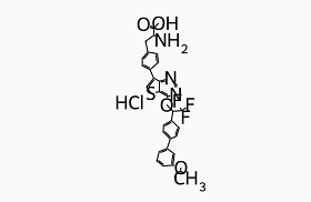 COc1cccc(-c2ccc(C(Oc3ncnc4c(-c5ccc(CC(N)C(=O)O)cc5)csc34)C(F)(F)F)cc2)c1.Cl